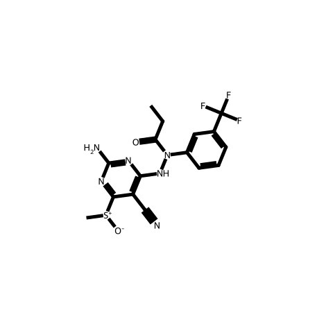 CCC(=O)N(Nc1nc(N)nc([S+](C)[O-])c1C#N)c1cccc(C(F)(F)F)c1